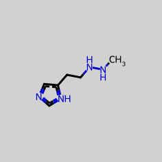 CNNCCc1cnc[nH]1